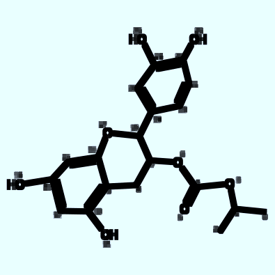 CC(C)OC(=O)OC1Cc2c(O)cc(O)cc2OC1c1ccc(O)c(O)c1